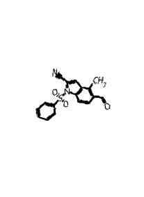 Cc1c(C=O)ccc2c1cc(C#N)n2S(=O)(=O)c1ccccc1